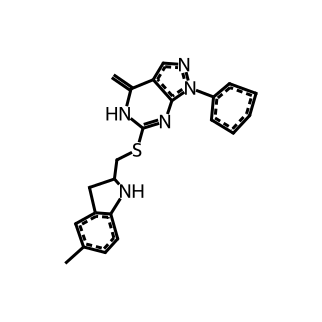 C=C1NC(SCC2Cc3cc(C)ccc3N2)=Nc2c1cnn2-c1ccccc1